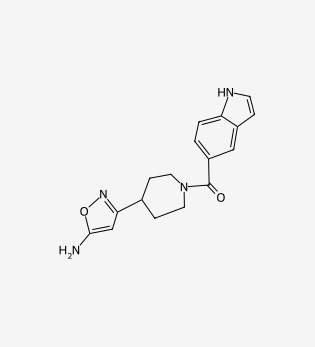 Nc1cc(C2CCN(C(=O)c3ccc4[nH]ccc4c3)CC2)no1